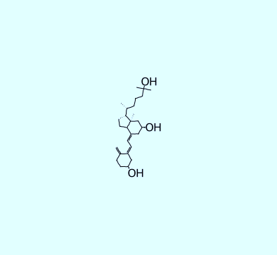 C=C1CC[C@H](O)C/C1=C/C=C1C[C@H](O)C[C@@]2(C)C1CC[C@@H]2[C@H](C)CCCC(C)(C)O